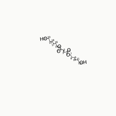 O=C(/C=C/C(=O)OCCCCCCO)OCCCCCCO